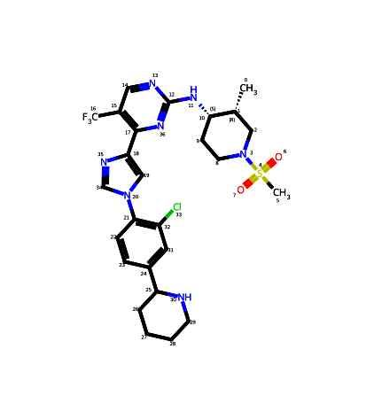 C[C@@H]1CN(S(C)(=O)=O)CC[C@@H]1Nc1ncc(C(F)(F)F)c(-c2cn(-c3ccc(C4CCCCN4)cc3Cl)cn2)n1